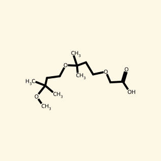 COC(C)(C)CCOC(C)(C)CCOCC(=O)O